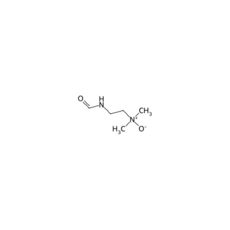 C[N+](C)([O-])CCNC=O